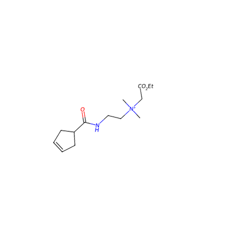 CCOC(=O)C[N+](C)(C)CCNC(=O)C1CC=CC1